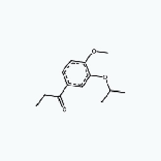 CCC(=O)c1ccc(OC)c(OC(C)C)c1